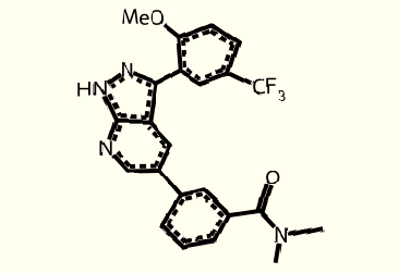 COc1ccc(C(F)(F)F)cc1-c1n[nH]c2ncc(-c3cccc(C(=O)N(C)C)c3)cc12